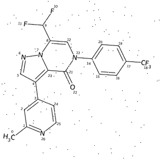 Cc1cc(-c2cnn3c(C(F)F)cn(-c4ccc(C(F)(F)F)cc4)c(=O)c23)ccn1